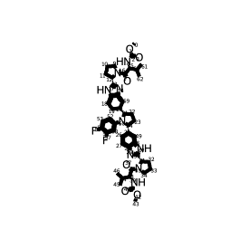 COC(=O)N[C@H](C(=O)N1CCC[C@H]1c1nc2c([nH]1)=CCC([C@H]1CC[C@H](c3ccc4nc([C@@H]5CCCN5C(=O)[C@@H](NC(=O)OC)C(C)C)[nH]c4c3)N1c1ccc(F)c(F)c1)C=2)C(C)C